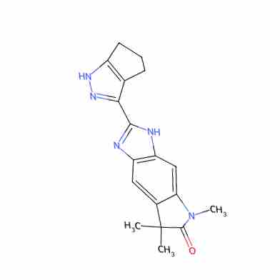 CN1C(=O)C(C)(C)c2cc3nc(-c4n[nH]c5c4CCC5)[nH]c3cc21